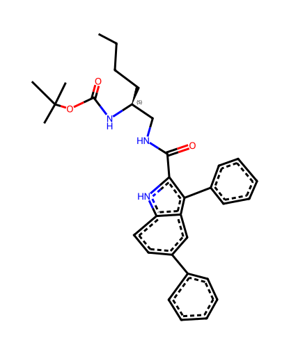 CCCC[C@@H](CNC(=O)c1[nH]c2ccc(-c3ccccc3)cc2c1-c1ccccc1)NC(=O)OC(C)(C)C